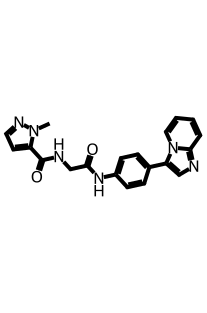 Cn1nccc1C(=O)NCC(=O)Nc1ccc(-c2cnc3ccccn23)cc1